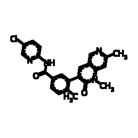 Cc1cc2c(cn1)cc(-c1cc(C(=O)Nc3ccc(Cl)cn3)ccc1C)c(=O)n2C